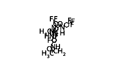 C=C(C)C(=O)NCc1ccc(F)c(Nc2nc3cc(C(=O)N[C@H]4CC[C@H](C(F)(F)F)CC4)c(OCC(F)F)nc3n2C)c1F